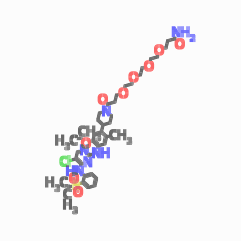 Cc1cc(Nc2ncc(Cl)c(Nc3ccccc3S(=O)(=O)C(C)C)n2)c(OC(C)C)cc1C1CCN(C(=O)CCOCCOCCOCCOCCC(N)=O)CC1